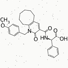 COc1ccc(Cn2c3c(cc(C(=O)N[C@@H](C(=O)O)c4ccccc4)c2=O)CCCCCC3)cc1